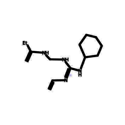 C=C/N=C(\NCNC(=C)CC)NC1CCCCC1